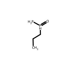 CCC[PH](=O)P